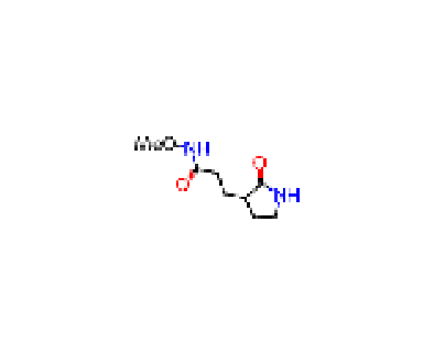 CONC(=O)CCC1CCNC1=O